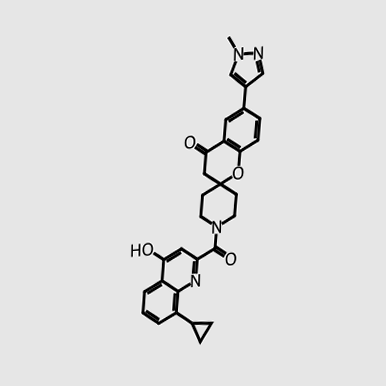 Cn1cc(-c2ccc3c(c2)C(=O)CC2(CCN(C(=O)c4cc(O)c5cccc(C6CC6)c5n4)CC2)O3)cn1